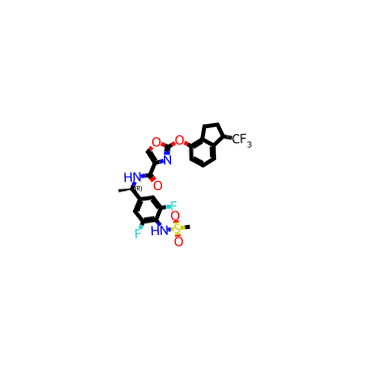 C[C@@H](NC(=O)c1coc(Oc2cccc3c2CCC3C(F)(F)F)n1)c1cc(F)c(NS(C)(=O)=O)c(F)c1